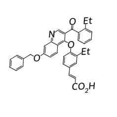 CCc1cc(/C=C/C(=O)O)ccc1Oc1c(C(=O)c2ccccc2CC)cnc2cc(OCc3ccccc3)ccc12